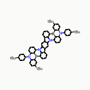 CC(C)(C)c1ccc(N2c3ccc(C(C)(C)C)cc3B3c4c2cccc4-n2c4cc5c6cccc7c6n(c5cc4c4cccc3c42)-c2cccc3c2B7c2cc(C(C)(C)C)ccc2N3c2ccc(C(C)(C)C)cc2)cc1